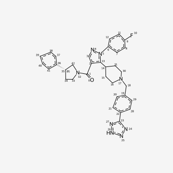 O=C(c1cnn(-c2ccc(F)cc2)c1C1CCN(Cc2ccc(-c3nn[nH]n3)cc2)CC1)N1CC[C@H](c2ccccc2)C1